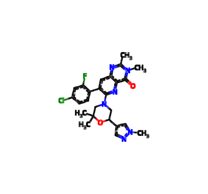 Cc1nc2cc(-c3ccc(Cl)cc3F)c(N3CC(c4cnn(C)c4)OC(C)(C)C3)nc2c(=O)n1C